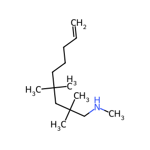 C=CCCCC(C)(C)CC(C)(C)CNC